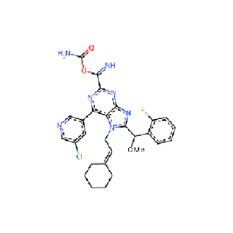 COC(c1ccccc1F)c1nc2nc(C(=N)OC(N)=O)nc(-c3cncc(Cl)c3)c2n1CC=C1CCCCC1